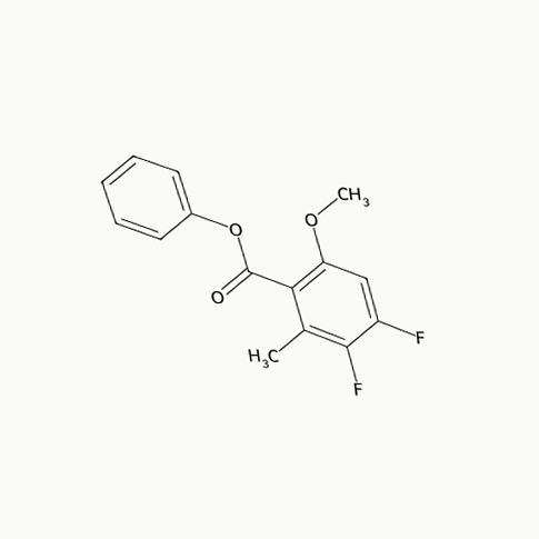 COc1cc(F)c(F)c(C)c1C(=O)Oc1ccccc1